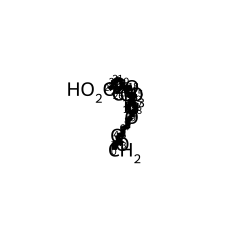 C=CC(=O)OCCCCOc1ccc(C(=O)OC(=O)c2cccc(C(=O)O)c2C)cc1